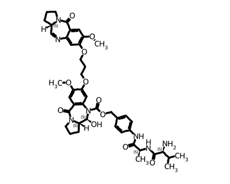 COc1cc2c(cc1OCCCOc1cc3c(cc1OC)C(=O)N1CCC[C@H]1[C@H](O)N3C(=O)OCc1ccc(NC(=O)[C@H](C)NC(=O)[C@@H](N)C(C)C)cc1)N=C[C@@H]1CCCN1C2=O